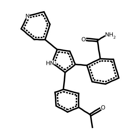 CC(=O)c1cccc(-c2[nH]c(-c3ccncc3)cc2-c2ccccc2C(N)=O)c1